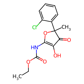 CCOC(=O)NC1=C(O)C(=O)C(C)(c2ccccc2Cl)O1